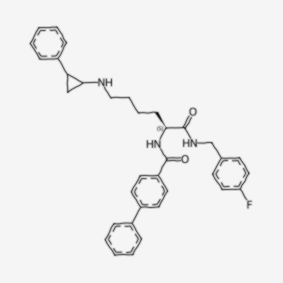 O=C(N[C@@H](CCCCNC1CC1c1ccccc1)C(=O)NCc1ccc(F)cc1)c1ccc(-c2ccccc2)cc1